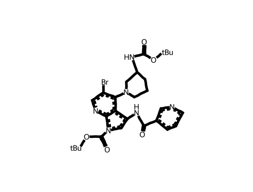 CC(C)(C)OC(=O)NC1CCCN(c2c(Br)cnc3c2c(NC(=O)c2cccnc2)cn3C(=O)OC(C)(C)C)C1